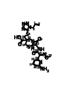 C=CCn1nnnc1SCC1(C(=O)O)CS[C@@H]2C(NC(=O)C(=NOC)c3cccc(N)n3)C(=O)N2C1